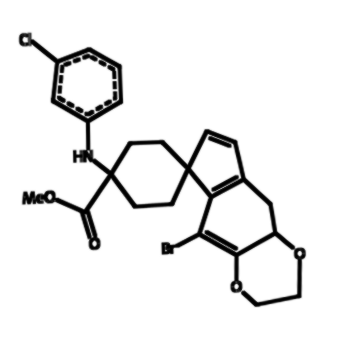 COC(=O)C1(Nc2cccc(Cl)c2)CCC2(C=CC3=C2C(Br)=C2OCCOC2C3)CC1